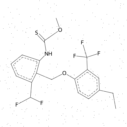 CCc1ccc(OCc2c(NC(=S)OC)cccc2C(F)F)c(C(F)(F)F)c1